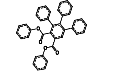 O=C(Oc1ccccc1)c1cc(-c2ccccc2)c(-c2ccccc2)c(-c2ccccc2)c1C(=O)Oc1ccccc1